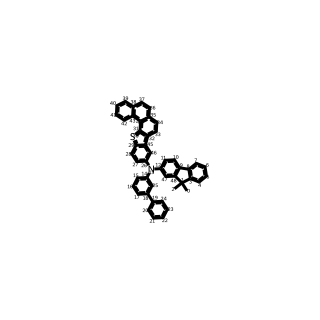 CC1(C)c2ccccc2-c2ccc(N(c3cccc(-c4ccccc4)c3)c3ccc4sc5c(ccc6ccc7ccccc7c65)c4c3)cc21